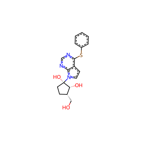 OC[C@@H]1CC[C@@](O)(n2ccc3c(Sc4ccccc4)ncnc32)[C@@H]1O